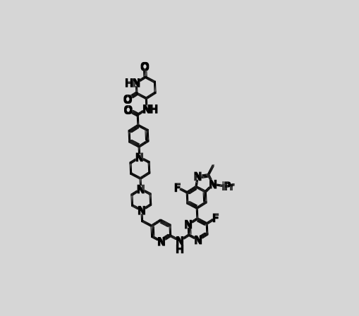 Cc1nc2c(F)cc(-c3nc(Nc4ccc(CN5CCN(C6CCN(c7ccc(C(=O)NC8CCC(=O)NC8=O)cc7)CC6)CC5)cn4)ncc3F)cc2n1C(C)C